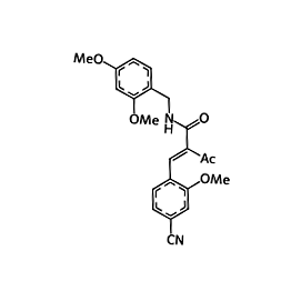 COc1ccc(CNC(=O)C(=Cc2ccc(C#N)cc2OC)C(C)=O)c(OC)c1